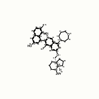 CCCN1CCC[C@@]2(COc3nc(N4CCCOCC4)c4cnc(-c5cc(O)cc6ccc(F)c(CC)c56)c(F)c4n3)CCC[C@@H]12